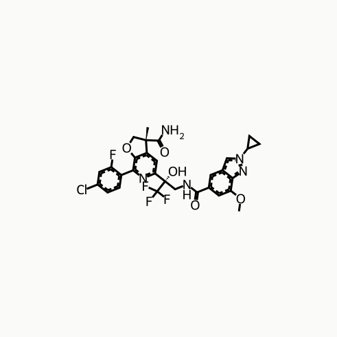 COc1cc(C(=O)NC[C@](O)(c2cc3c(c(-c4ccc(Cl)cc4F)n2)OC[C@]3(C)C(N)=O)C(F)(F)F)cc2cn(C3CC3)nc12